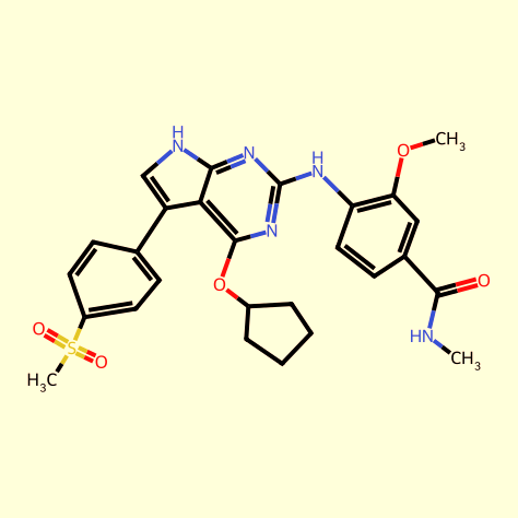 CNC(=O)c1ccc(Nc2nc(OC3CCCC3)c3c(-c4ccc(S(C)(=O)=O)cc4)c[nH]c3n2)c(OC)c1